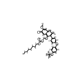 CCCCCCCCOC(=O)OCOc1c(-c2ccc(Oc3ccc(OC(F)(F)F)cc3)cc2)c(C)nc2cc(OC)c(Cl)cc12